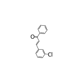 O=C(/C=C/c1cccc(Cl)c1)c1ccccc1